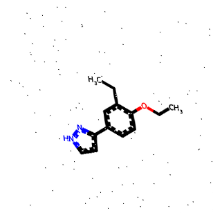 CCOc1ccc(-c2cc[nH]n2)cc1CC